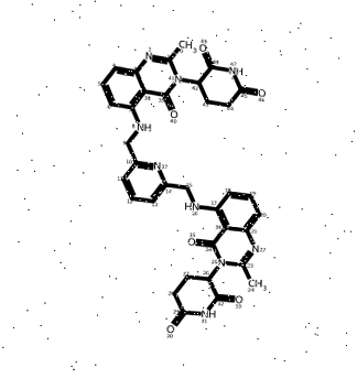 Cc1nc2cccc(NCc3cccc(CNc4cccc5nc(C)n(C6CCC(=O)NC6=O)c(=O)c45)n3)c2c(=O)n1C1CCC(=O)NC1=O